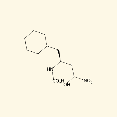 O=C(O)N[C@@H](CC1CCCCC1)CC(O)[N+](=O)[O-]